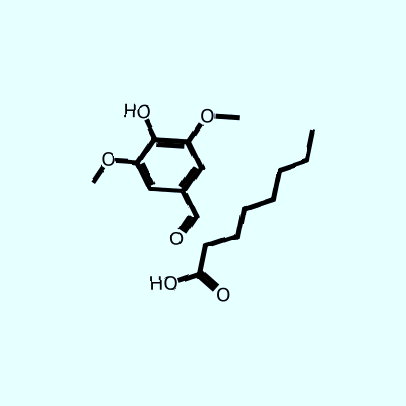 CCCCCCCC(=O)O.COc1cc(C=O)cc(OC)c1O